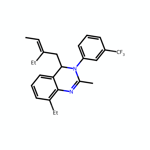 C/C=C(\CC)CC1c2cccc(CC)c2N=C(C)N1c1cccc(C(F)(F)F)c1